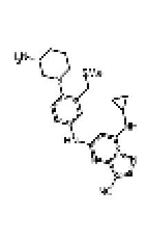 CSCc1cc(Nc2cc(NC3CC3)n3ncc(C#N)c3n2)ccc1N1CCC[C@@H](N)C1